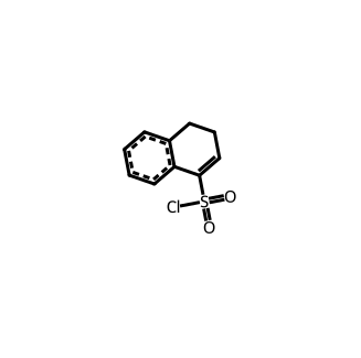 O=S(=O)(Cl)C1=CCCc2ccccc21